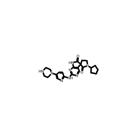 O=C1Nc2nc(Nc3ccc(N4CCNCC4)cn3)ncc2C12CCN(C1CCCC1)C2=O